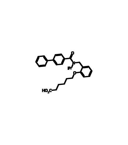 CC(C)N(Cc1ccccc1OCCCCCC(=O)O)C(=O)c1ccc(-c2ccccc2)cc1